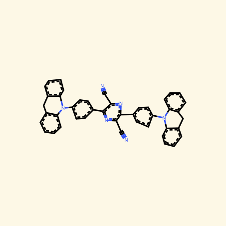 N#Cc1nc(-c2ccc(N3c4ccccc4Cc4ccccc43)cc2)c(C#N)nc1-c1ccc(N2c3ccccc3Cc3ccccc32)cc1